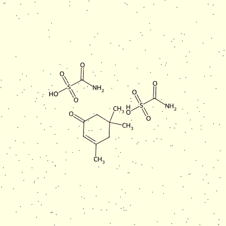 CC1=CC(=O)CC(C)(C)C1.NC(=O)S(=O)(=O)O.NC(=O)S(=O)(=O)O